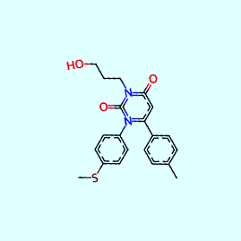 CSc1ccc(-n2c(-c3ccc(C)cc3)cc(=O)n(CCCO)c2=O)cc1